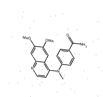 COc1cc2nccc(N(C)c3ccc(C(N)=O)cc3)c2cc1OC